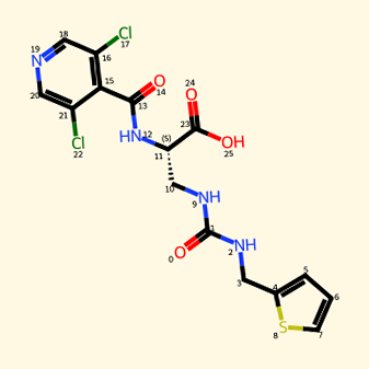 O=C(NCc1cccs1)NC[C@H](NC(=O)c1c(Cl)cncc1Cl)C(=O)O